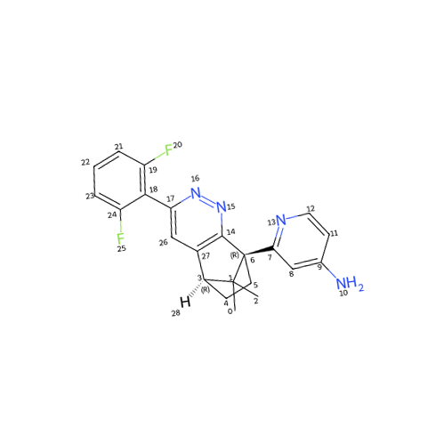 CC1(C)[C@H]2CC[C@@]1(c1cc(N)ccn1)c1nnc(-c3c(F)cccc3F)cc12